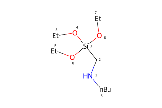 CCCCNC[Si](OCC)(OCC)OCC